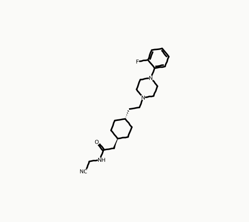 N#CCNC(=O)C[C@H]1CC[C@H](CCN2CCN(c3ccccc3F)CC2)CC1